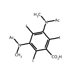 CC(=O)N(C)c1c(I)c(C(=O)O)c(I)c(N(C)C(C)=O)c1I